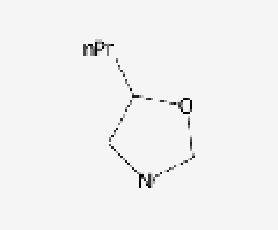 CCCC1C[N]CO1